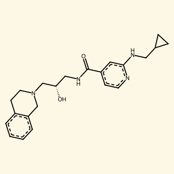 O=C(NC[C@H](O)CN1CCc2ccccc2C1)c1ccnc(NCC2CC2)c1